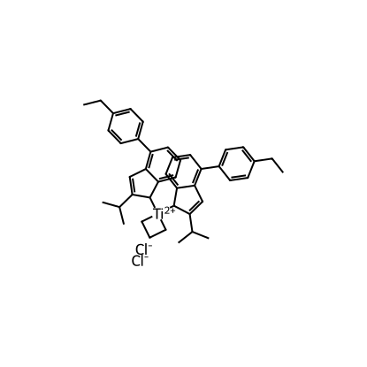 CCc1ccc(-c2cccc3c2C=C(C(C)C)[CH]3[Ti+2]2([CH]3C(C(C)C)=Cc4c(-c5ccc(CC)cc5)cccc43)[CH2]C[CH2]2)cc1.[Cl-].[Cl-]